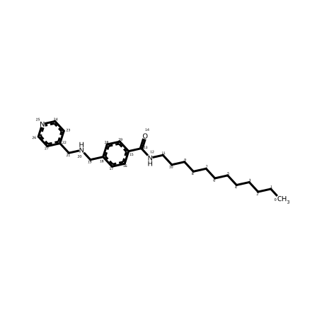 CCCCCCCCCCCCNC(=O)c1ccc(CNCc2ccncc2)cc1